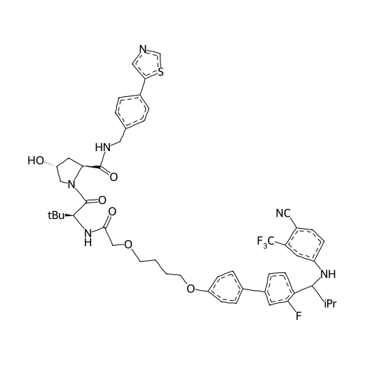 CC(C)C(Nc1ccc(C#N)c(C(F)(F)F)c1)c1ccc(-c2ccc(OCCCCOCC(=O)N[C@H](C(=O)N3C[C@H](O)C[C@H]3C(=O)NCc3ccc(-c4cncs4)cc3)C(C)(C)C)cc2)cc1F